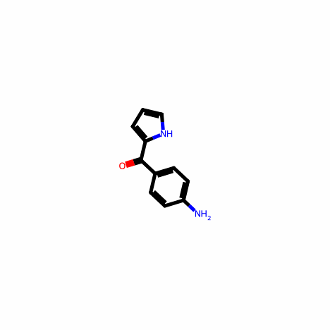 Nc1ccc(C(=O)c2ccc[nH]2)cc1